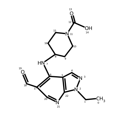 CCn1ncc2c(NC3CCN(C(=O)O)CC3)c(C=O)cnc21